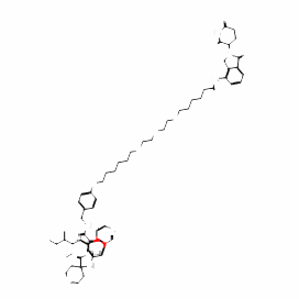 C=C(N/C(=C\[C@H](CC)C(C)CC)c1ccncc1)C1(Nc2cccc(C(=O)N[C@H](C)c3ccc(OCCCCCCOCCOCCOCCCCCC(=O)Nc4cccc5c4CN(C4CCC(=O)NC4=O)C5=O)cc3)c2)CCNCC1